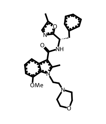 COc1cccc2c(C(=O)N[C@@H](Cc3ccccc3)c3ncc(C)o3)c(C)n(CCN3CCOCC3)c12